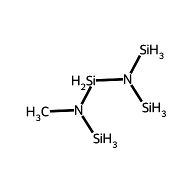 CN([SiH3])[SiH2]N([SiH3])[SiH3]